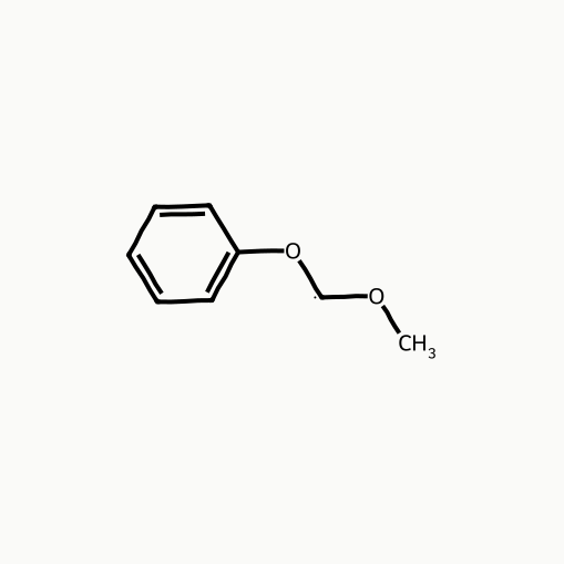 CO[CH]Oc1ccccc1